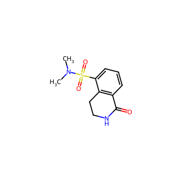 CN(C)S(=O)(=O)c1cccc2c1CCNC2=O